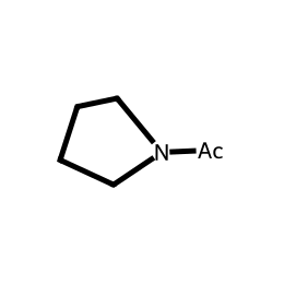 [CH]C(=O)N1CCCC1